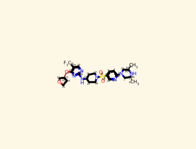 C[C@@H]1CN(c2ccc(S(=O)(=O)N3CCC(Nc4ncc(C(F)(F)F)c(O[C@H]5CCOC5)n4)CC3)cn2)C[C@@H](C)N1